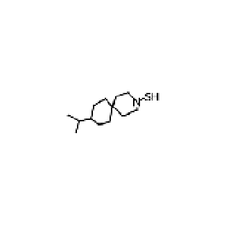 CC(C)C1CCC2(CC1)CCN(S)CC2